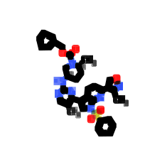 Cc1nocc1-c1ccc2c(-c3nc(N[C@@H]4CC[C@@H](C)N(C(=O)OCc5ccccc5)C4)ncc3C(F)(F)F)cn(S(=O)(=O)c3ccccc3)c2n1